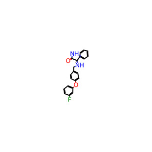 NC(=O)[C@H](NCc1ccc(Oc2cccc(F)c2)cc1)c1ccccc1